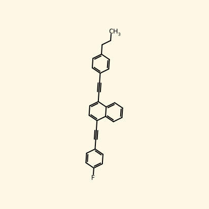 CCCc1ccc(C#Cc2ccc(C#Cc3ccc(F)cc3)c3ccccc23)cc1